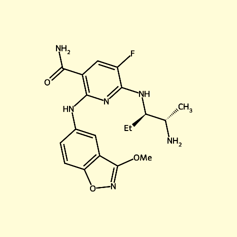 CC[C@@H](Nc1nc(Nc2ccc3onc(OC)c3c2)c(C(N)=O)cc1F)[C@H](C)N